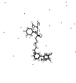 COC(CN(C(=O)CCOCCc1cccc(-c2nc(C)c(C)[nH]2)c1)C1CCCCC1)OC